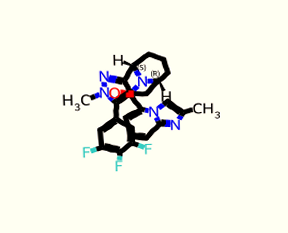 Cc1cn2c(C(=O)N3[C@@H]4CCC[C@H]3c3nn(C)c(-c5cc(F)c(F)c(F)c5)c3C4)cccc2n1